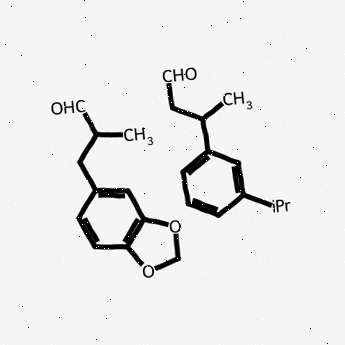 CC(C)c1cccc(C(C)CC=O)c1.CC(C=O)Cc1ccc2c(c1)OCO2